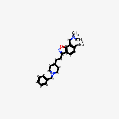 CCCCc1ccc2c(CCC3CCN(Cc4ccccc4)CC3)noc2c1CN(C)C